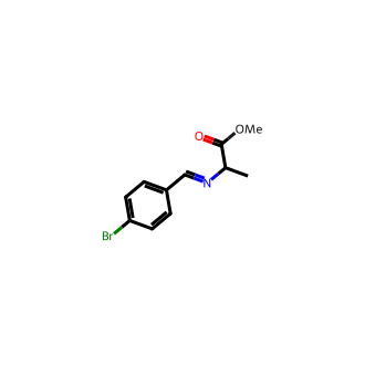 COC(=O)C(C)N=Cc1ccc(Br)cc1